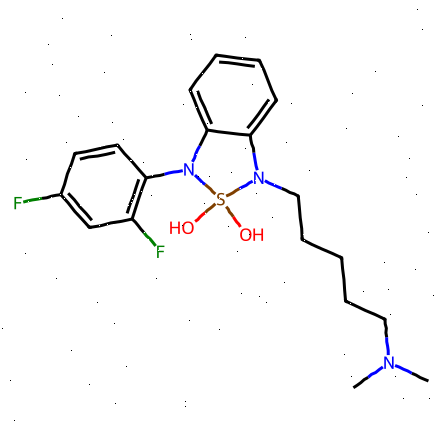 CN(C)CCCCCN1c2ccccc2N(c2ccc(F)cc2F)S1(O)O